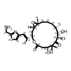 CC[C@H]1C(=O)C(C)(C)[C@@H](O)CC(=O)O[C@H](C(F)=Cc2csc(CN)n2)C[C@@H]2O[C@]2(C)CCC[C@H](C)[C@@H]1O